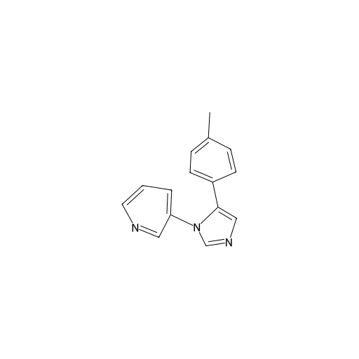 Cc1ccc(-c2cncn2-c2cccnc2)cc1